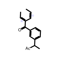 C/C=C\C(=C/C)C(=O)c1cccc(C(C)C(C)=O)c1